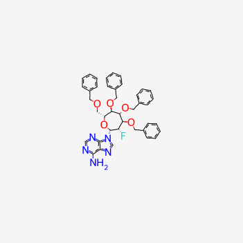 Nc1ncnc2c1ncn2[C@@H]1O[C@H](COCc2ccccc2)[C@@H](OCc2ccccc2)[C@H](OCc2ccccc2)[C@@H](OCc2ccccc2)[C@@H]1F